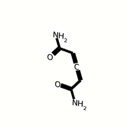 NC(=O)C=C=CC(N)=O